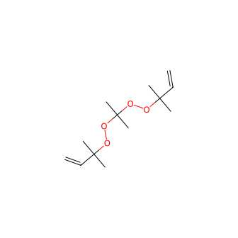 C=CC(C)(C)OOC(C)(C)OOC(C)(C)C=C